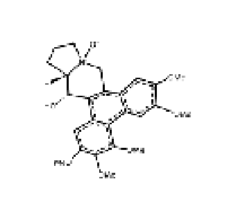 COc1cc2c3c(c4cc(OC)c(OC)c(OC)c4c2cc1OC)[C@H](O)[C@@H]1CCC[N+]1([O-])C3